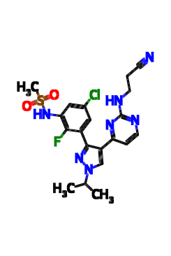 CC(C)n1cc(-c2ccnc(NCCC#N)n2)c(-c2cc(Cl)cc(NS(C)(=O)=O)c2F)n1